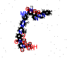 C[C@H]1CN([C@H]2CCN3c4ccc5c(c4OC[C@H]3C2)C(=O)N([C@H]2CCC(=O)N(COP(=O)(O)O)C2=O)C5=O)CCN1c1ccc(Nc2cc(-c3ccnc(N4CCn5c(cc6c5CC(C)(C)C6)C4=O)c3CO)cn(C)c2=O)nc1